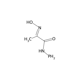 C/C(=N\O)C(=O)NP